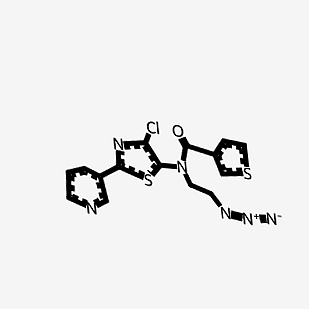 [N-]=[N+]=NCCN(C(=O)c1ccsc1)c1sc(-c2cccnc2)nc1Cl